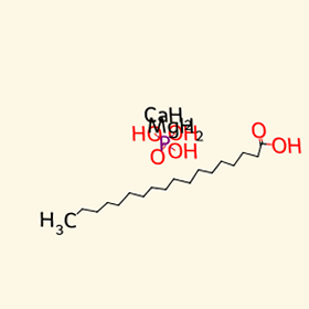 CCCCCCCCCCCCCCCCCC(=O)O.O=P(O)(O)O.[CaH2].[MgH2]